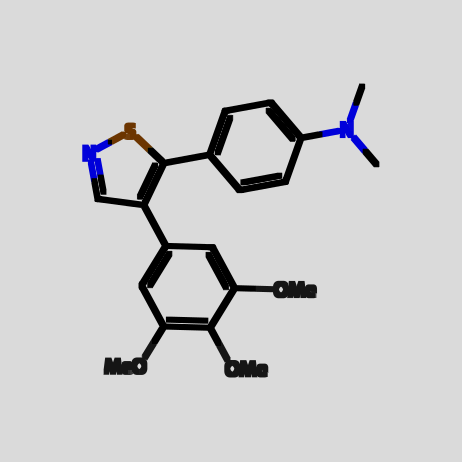 COc1cc(-c2cnsc2-c2ccc(N(C)C)cc2)cc(OC)c1OC